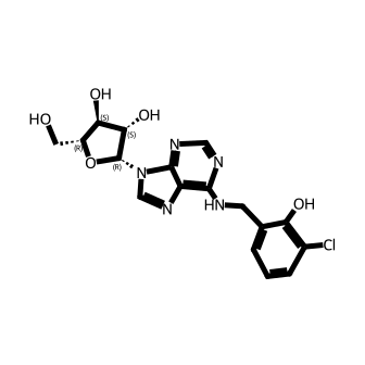 OC[C@H]1O[C@@H](n2cnc3c(NCc4cccc(Cl)c4O)ncnc32)[C@@H](O)[C@@H]1O